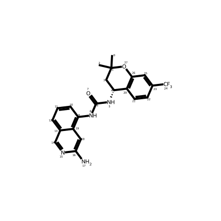 CC1(C)C[C@@H](NC(=O)Nc2cccc3cnc(N)cc23)c2ccc(C(F)(F)F)cc2O1